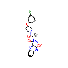 CC(C)[C@H](NC(=O)c1nc2ccccc2nc1O)C(=O)N1CCC(Oc2cccc(F)c2)CC1